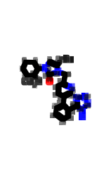 CCCCc1cn(C2CCCCC2C(=O)O)c(=O)n1Cc1ccc(-c2ccccc2-c2nnn[nH]2)cn1